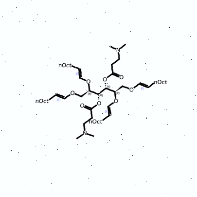 CCCCCCCC/C=C/OC[C@@H](O/C=C/CCCCCCCC)[C@@H](OC(=O)CCN(C)C)[C@H](OC(=O)CCN(C)C)[C@@H](CO/C=C/CCCCCCCC)O/C=C/CCCCCCCC